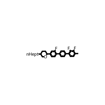 CCCCCCCC1CCC(c2ccc(-c3ccc(-c4ccc(C)c(F)c4F)cc3)c(F)c2)OC1